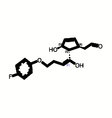 O=CC[C@@H]1C=C[C@H](O)[C@H]1/C(O)=C\CCOc1ccc(F)cc1